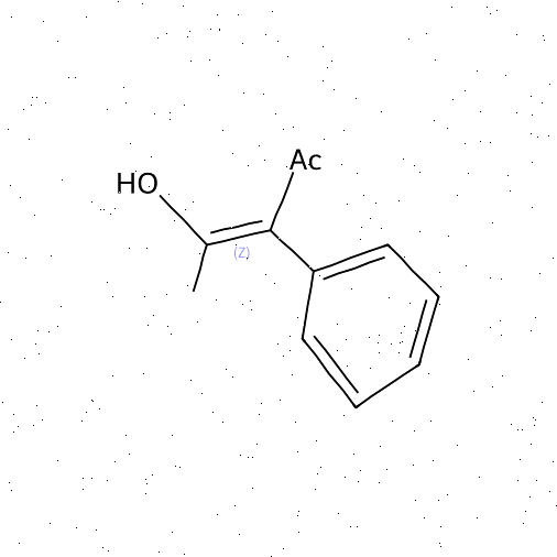 CC(=O)/C(=C(/C)O)c1ccccc1